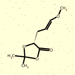 COC=CC[C@H]1OC(C)(C)OC1=O